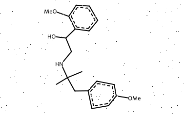 COc1ccc(CC(C)(C)NCC(O)c2ccccc2OC)cc1